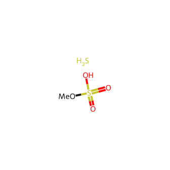 COS(=O)(=O)O.S